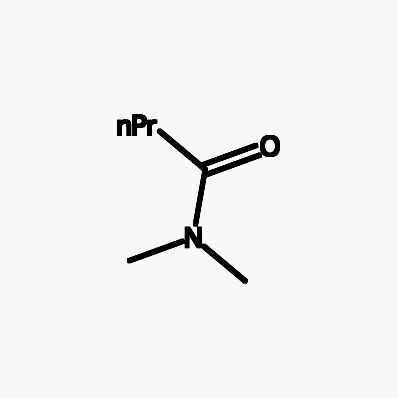 C[C]CC(=O)N(C)C